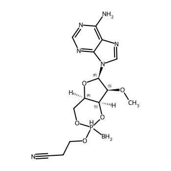 B[PH]1(OCCC#N)OC[C@H]2O[C@@H](n3cnc4c(N)ncnc43)[C@@H](OC)[C@H]2O1